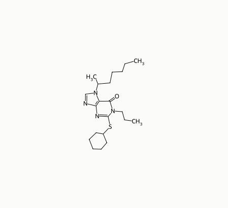 CCCCCC(C)n1cnc2nc(SC3CCCCC3)n(CCC)c(=O)c21